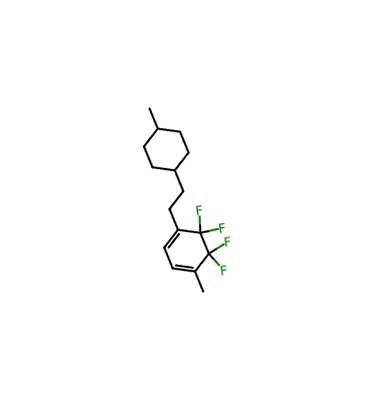 CC1=CC=C(CCC2CCC(C)CC2)C(F)(F)C1(F)F